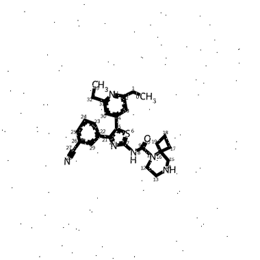 CCc1cc(-c2sc(NC(=O)N3CCNCC34CCC4)nc2-c2cccc(C#N)c2)cc(CC)n1